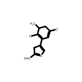 CC1CC(Cl)=CC(C2=CN=C(C=O)C2)=C1Cl